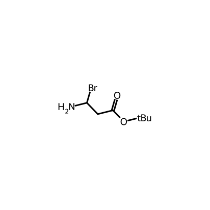 CC(C)(C)OC(=O)CC(N)Br